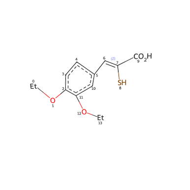 CCOc1ccc(/C=C(\S)C(=O)O)cc1OCC